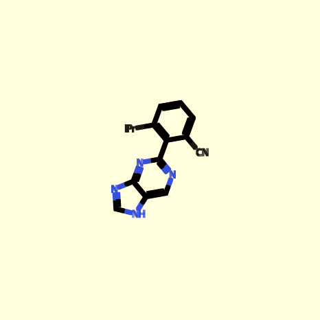 CC(C)c1cccc(C#N)c1-c1ncc2[nH]cnc2n1